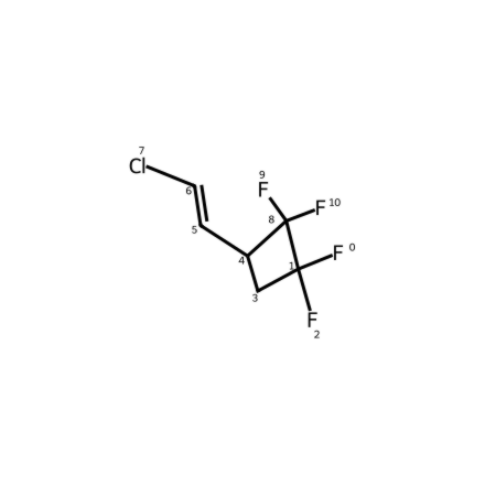 FC1(F)CC(C=CCl)C1(F)F